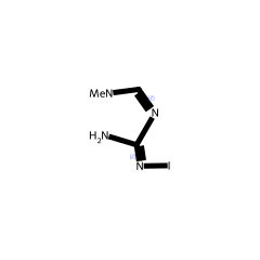 CN/C=N\C(N)=N/I